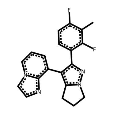 Cc1c(F)ccc(-c2nn3c(c2-c2cccn4ccnc24)CCC3)c1F